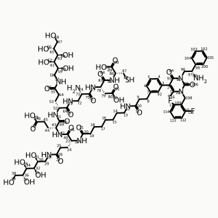 Cc1c(-c2cccc(CCC(=O)NCCCCCCCC(=O)N[C@H](CCC(=O)NC[C@H](O)[C@@H](O)[C@H](O)[C@H](O)CO)C(=O)N[C@H](CCC(=O)O)C(=O)N[C@H](CCC(=O)NC[C@H](O)[C@@H](O)[C@H](O)[C@H](O)CO)C(=O)NC[C@H](N)C(=O)N[C@@H](CC(=O)O)C(=O)N[C@@H](CS)C(=O)O)c2)c(=O)n(C[C@@H](N)c2ccccc2)c(=O)n1Cc1c(F)cccc1F